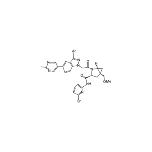 COC[C@@]12C[C@@H](C(=O)Nc3cccc(Br)n3)N(C(=O)Cn3nc(C(C)=O)c4cc(-c5cnc(C)nc5)ccc43)[C@@H]1C2